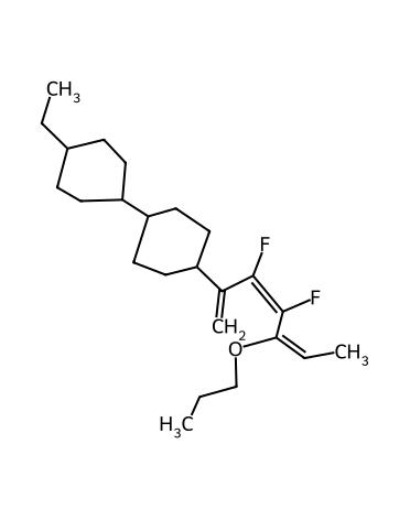 C=C(/C(F)=C(F)\C(=C/C)OCCC)C1CCC(C2CCC(CC)CC2)CC1